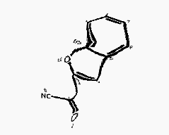 N#CC(=O)c1cc2ccccc2o1